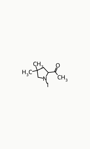 CC(=O)C1CC(C)(C)CN1I